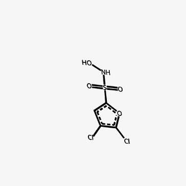 O=S(=O)(NO)c1cc(Cl)c(Cl)o1